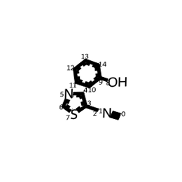 C#N.Cc1cncs1.Oc1ccccc1